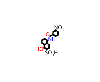 O=C(Nc1cccc2c(O)c(S(=O)(=O)O)ccc12)c1cccc([N+](=O)[O-])c1